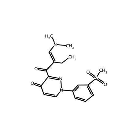 CC/C(=C\N(C)C)C(=O)c1nn(-c2cccc(S(C)(=O)=O)c2)ccc1=O